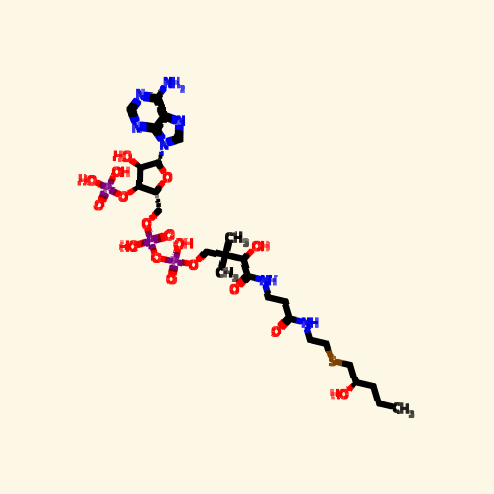 CCC[C@@H](O)CSCCNC(=O)CCNC(=O)C(O)C(C)(C)COP(=O)(O)OP(=O)(O)OC[C@H]1O[C@@H](n2cnc3c(N)ncnc32)[C@H](O)[C@@H]1OP(=O)(O)O